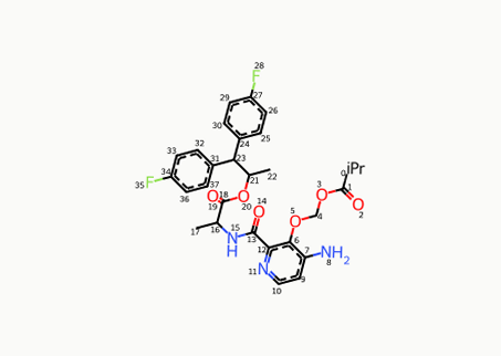 CC(C)C(=O)OCOc1c(N)ccnc1C(=O)NC(C)C(=O)OC(C)C(c1ccc(F)cc1)c1ccc(F)cc1